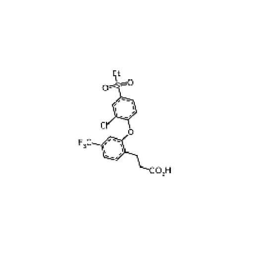 CCS(=O)(=O)c1ccc(Oc2cc(C(F)(F)F)ccc2CCC(=O)O)c(Cl)c1